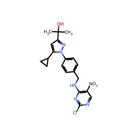 CC(C)(O)c1cc(C2CC2)n(-c2ccc(CNc3nc(Cl)ncc3[N+](=O)[O-])cc2)n1